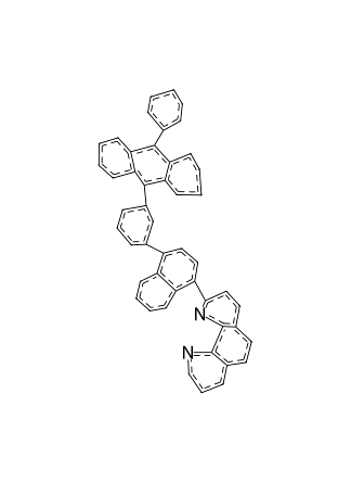 c1ccc(-c2c3ccccc3c(-c3cccc(-c4ccc(-c5ccc6ccc7cccnc7c6n5)c5ccccc45)c3)c3ccccc23)cc1